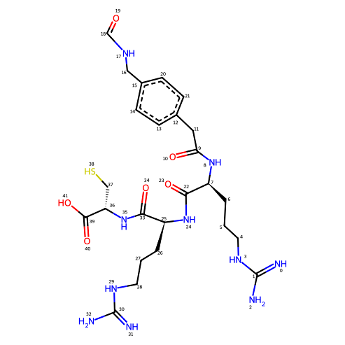 N=C(N)NCCC[C@H](NC(=O)Cc1ccc(CNC=O)cc1)C(=O)N[C@@H](CCCNC(=N)N)C(=O)N[C@@H](CS)C(=O)O